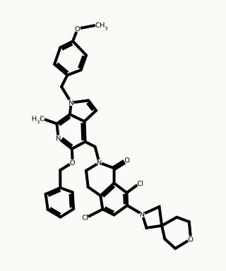 COc1ccc(Cn2ccc3c(CN4CCc5c(Cl)cc(N6CC7(CCOCC7)C6)c(Cl)c5C4=O)c(OCc4ccccc4)nc(C)c32)cc1